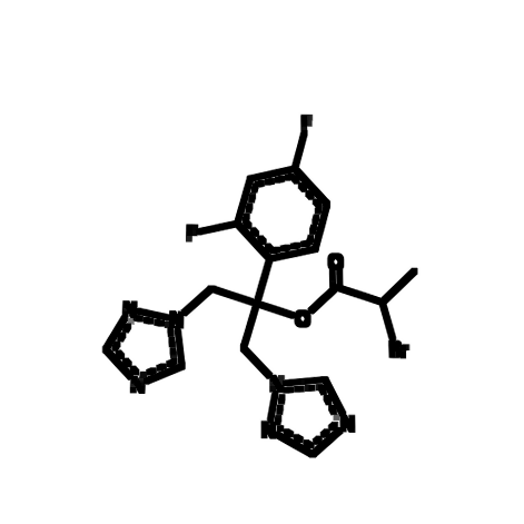 CC(Br)C(=O)OC(Cn1cncn1)(Cn1cncn1)c1ccc(F)cc1F